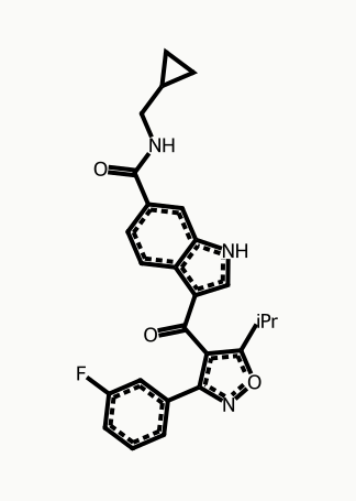 CC(C)c1onc(-c2cccc(F)c2)c1C(=O)c1c[nH]c2cc(C(=O)NCC3CC3)ccc12